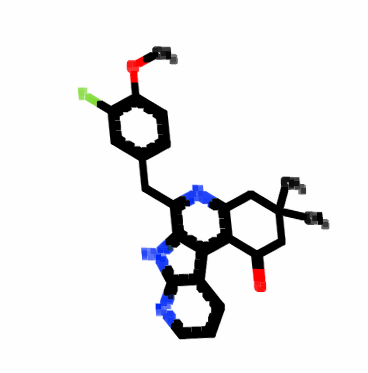 COc1ccc(Cc2nc3c(c4c2[nH]c2ncccc24)C(=O)CC(C)(C)C3)cc1F